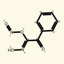 O=NOC(=NO)C(=O)c1ccccc1